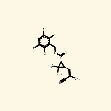 C/C(C#N)=C/[C@@H]1[C@@H](C(=O)OCc2c(F)c(F)cc(F)c2Cl)C1(C)C